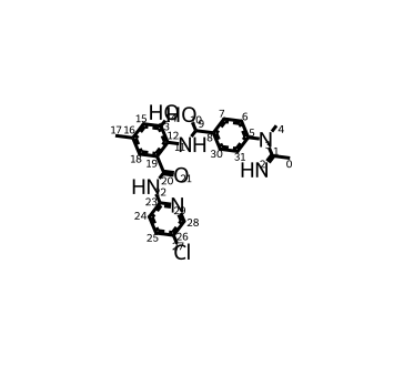 CC(=N)N(C)c1ccc(C(O)Nc2c(O)cc(C)cc2C(=O)Nc2ccc(Cl)cn2)cc1